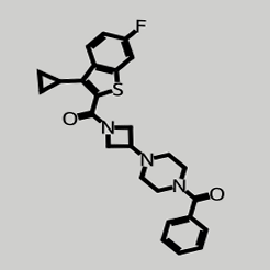 O=C(c1ccccc1)N1CCN(C2CN(C(=O)c3sc4cc(F)ccc4c3C3CC3)C2)CC1